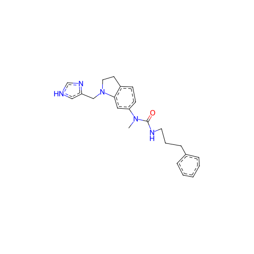 CN(C(=O)NCCCc1ccccc1)c1ccc2c(c1)N(Cc1c[nH]cn1)CC2